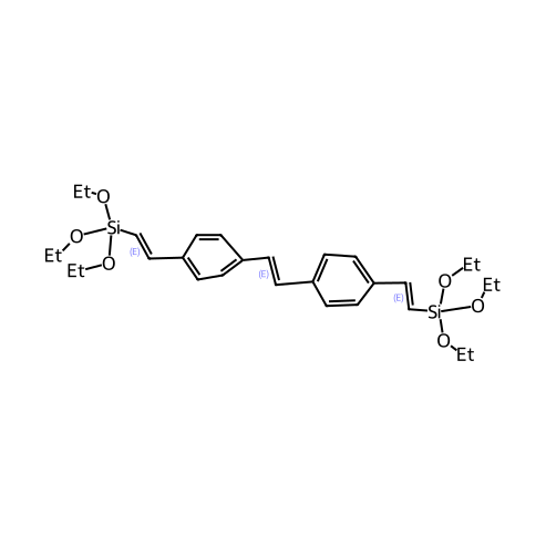 CCO[Si](/C=C/c1ccc(/C=C/c2ccc(/C=C/[Si](OCC)(OCC)OCC)cc2)cc1)(OCC)OCC